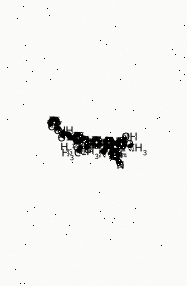 COc1ccc(-c2ccc(N3CCC(N(Cc4ccc(/C=C/C(=O)NOC5CCCCO5)cc4)C(=O)OC(C)(C)C)CC3)c(C#N)c2-c2ccc(C#N)c(F)c2)cc1O